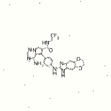 Nc1ncnn2cc(C(=O)NCC(F)(F)F)c(-c3ccc(Nc4nc5cc6c(cc5[nH]4)OCCO6)cc3)c12